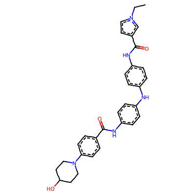 CCn1ccc(C(=O)Nc2ccc(Nc3ccc(NC(=O)c4ccc(N5CCC(O)CC5)cc4)cc3)cc2)c1